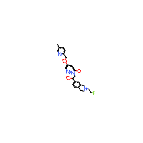 Cc1ccc(COc2cnn(CC(=O)c3ccc4c(c3)CN(CCF)CC4)c(=O)c2)nc1